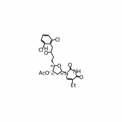 CCc1cn([C@H]2C[C@H](OC(C)=O)[C@@H](CCC(O)Cc3c(Cl)cccc3Cl)O2)c(=O)[nH]c1=O